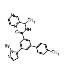 Cc1ccc(-c2cc(C(=O)NC(C)c3cnccn3)cc(-c3ccnn3C(C)C)c2)cc1